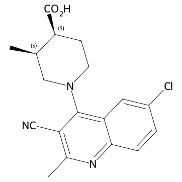 Cc1nc2ccc(Cl)cc2c(N2CC[C@H](C(=O)O)[C@H](C)C2)c1C#N